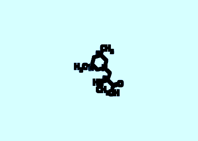 CN[C@@H](CN1C[C@H](C)C[C@H](C)C1)C(=O)O